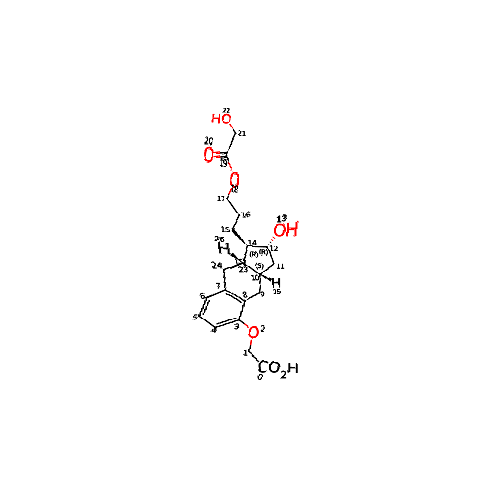 O=C(O)COc1cccc2c1C[C@H]1C[C@@H](O)[C@H](CCCOC(=O)CO)[C@H]1C2